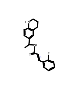 CC(NC(=O)/C=C/c1ccccc1F)c1ccc2c(c1)CCCN2